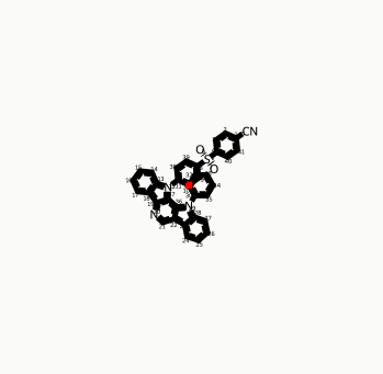 N#Cc1ccc(S(=O)(=O)c2ccc(-n3c4ccccc4c4ncc5c6ccccc6n(-c6ccccc6)c5c43)cc2)cc1